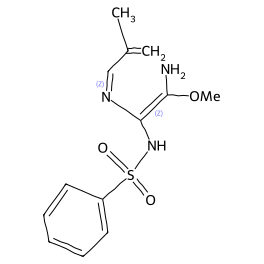 C=C(C)/C=N\C(NS(=O)(=O)c1ccccc1)=C(/N)OC